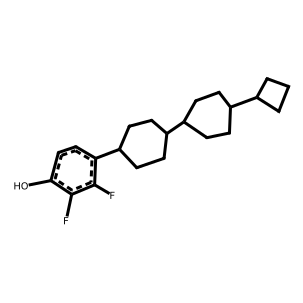 Oc1ccc(C2CCC(C3CCC(C4CCC4)CC3)CC2)c(F)c1F